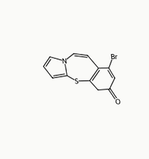 O=C1C=C(Br)C2=C(C1)Sc1cccn1C=C2